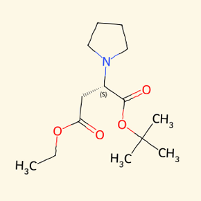 CCOC(=O)C[C@@H](C(=O)OC(C)(C)C)N1CCCC1